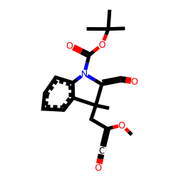 COC(=C=O)CC1(C)C(=C=O)N(C(=O)OC(C)(C)C)c2ccccc21